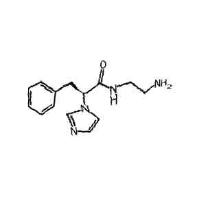 NCCNC(=O)[C@H](Cc1ccccc1)n1ccnc1